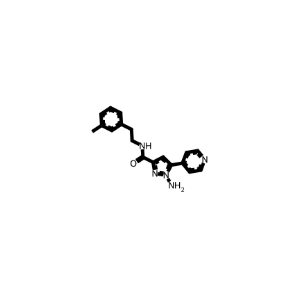 Cc1cccc(CCNC(=O)c2cc(-c3ccncc3)n(N)n2)c1